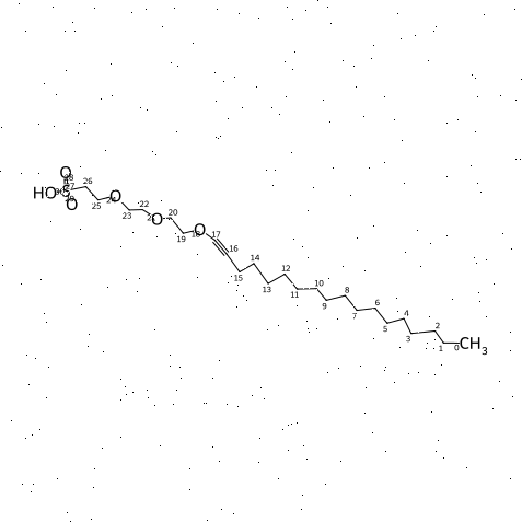 CCCCCCCCCCCCCCCCC#COCCOCCOCCS(=O)(=O)O